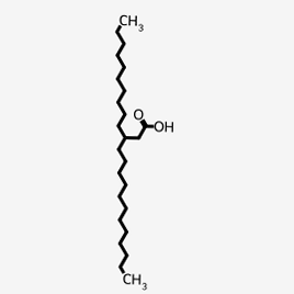 CCCCCCCCCCCCC(CCCCCCCCCC)CC(=O)O